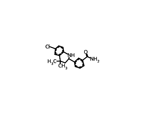 CC1(C)CC(c2cccc(C(N)=O)c2)Nc2ccc(Cl)cc21